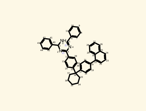 NC(/N=C(\N=C\c1ccccc1)c1ccc(C2(c3ccc(-c4cccc5ccccc45)cc3)CCCCC2)cc1)c1ccccc1